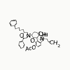 C=CCN1CC[C@]23c4c5ccc(OC(C)=O)c4OC2C(N(CCCCCCc2ccccc2)CC(=O)c2ccccc2)CC[C@@]3(O)[C@H]1C5